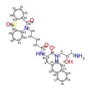 NCC(O)CNC(=O)[C@@H](Cc1ccc2ccccc2c1)NC(=O)CCCCN1C(=O)c2ccccc2[S+]([O-])c2ccccc21